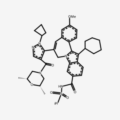 COc1ccc2c(c1)C=C(c1c(C(=O)N3C[C@@H](C)O[C@@H](C)C3)cnn1C1CCC1)Cn1c-2c(C2CCCCC2)c2ccc(C(=O)NS(=O)(=O)C(C)C)cc21